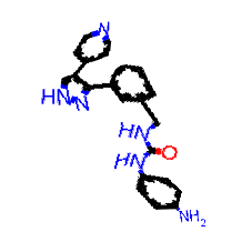 Nc1ccc(NC(=O)NCc2cccc(-c3n[nH]cc3-c3ccncc3)c2)cc1